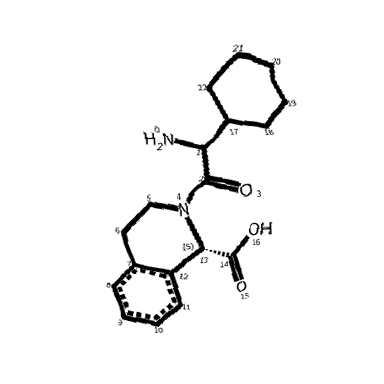 NC(C(=O)N1CCc2ccccc2[C@H]1C(=O)O)C1CCCCC1